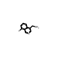 NCc1cncc2c(F)cccc12